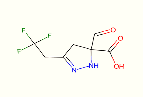 O=CC1(C(=O)O)CC(CC(F)(F)F)=NN1